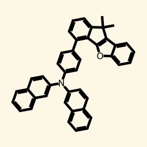 CC1(C)c2cccc(-c3ccc(N(c4ccc5ccccc5c4)c4ccc5ccccc5c4)cc3)c2-c2oc3ccccc3c21